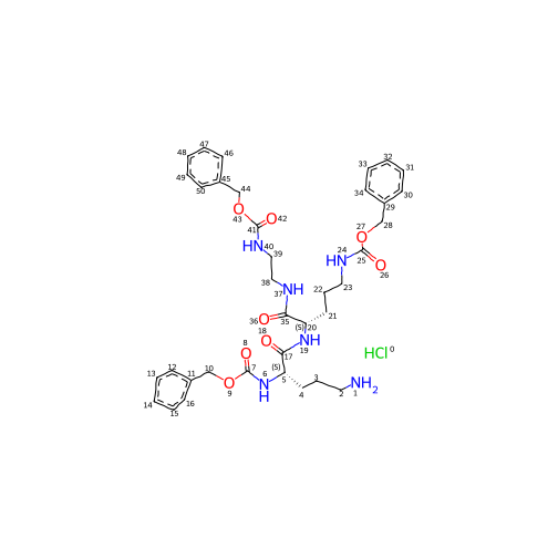 Cl.NCCC[C@H](NC(=O)OCc1ccccc1)C(=O)N[C@@H](CCCNC(=O)OCc1ccccc1)C(=O)NCCNC(=O)OCc1ccccc1